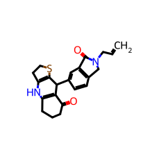 C=CCN1Cc2ccc(C3C4=C(CCS4)NC4=C3C(=O)CCC4)cc2C1=O